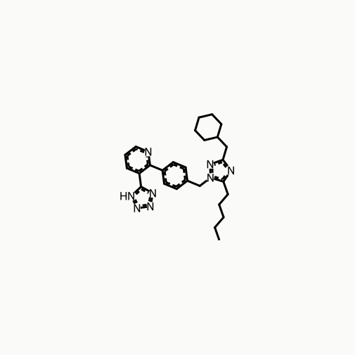 CCCCCc1nc(CC2CCCCC2)nn1Cc1ccc(-c2ncccc2-c2nnn[nH]2)cc1